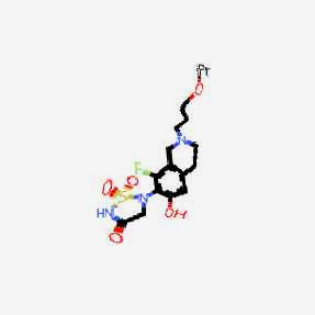 CC(C)OCCCN1CCc2cc(O)c(N3CC(=O)NS3(=O)=O)c(F)c2C1